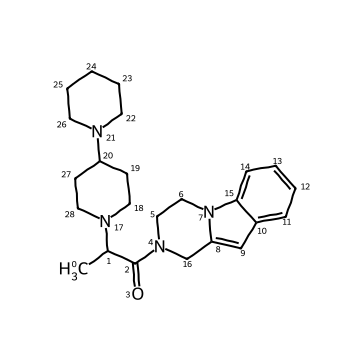 CC(C(=O)N1CCn2c(cc3ccccc32)C1)N1CCC(N2CCCCC2)CC1